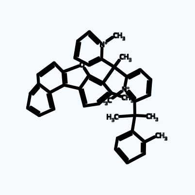 Cc1ccccc1C(C)(C)c1cccc(C(C)(c2c(C)ccc3c2oc2ccc4ccccc4c23)c2cccc[n+]2C)[n+]1C